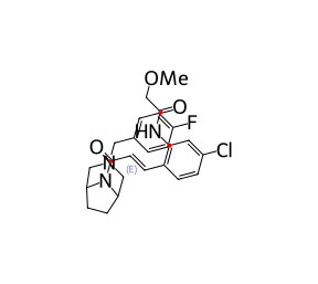 COCC(=O)Nc1cc(Cl)ccc1/C=C/C(=O)N1C2CCC1CN(Cc1ccc(F)cc1)C2